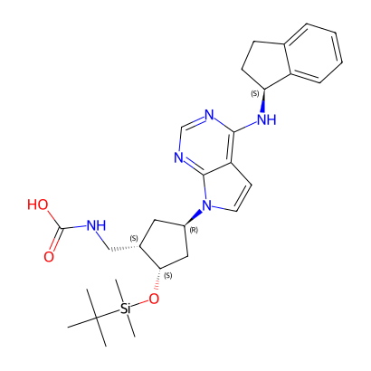 CC(C)(C)[Si](C)(C)O[C@H]1C[C@H](n2ccc3c(N[C@H]4CCc5ccccc54)ncnc32)C[C@H]1CNC(=O)O